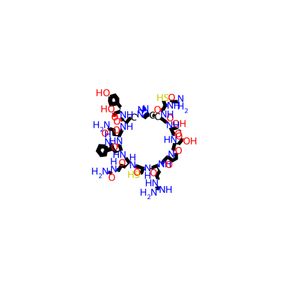 C[C@@H](O)[C@@H]1NC(=O)[C@@H](NC(=O)C(CS)NC(=O)CN)CCc2cn(nn2)CC[C@H](C(=O)N[C@@H](Cc2ccc(O)cc2)C(=O)O)NC(=O)[C@H](CCC(N)=O)NC(=O)[C@H](Cc2c[nH]c3ccccc23)NC(=O)[C@H](CCCNC(N)=O)NC(=O)C(CS)NC(=O)[C@H](CCCNC(=N)N)NC(=O)C2CCCN2C(=O)[C@H](CC(=O)O)NC1=O